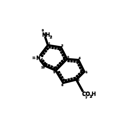 Nc1cc2ccc(C(=O)O)cc2cn1